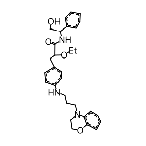 CCOC(Cc1ccc(NCCCN2CCOc3ccccc32)cc1)C(=O)N[C@@H](CO)c1ccccc1